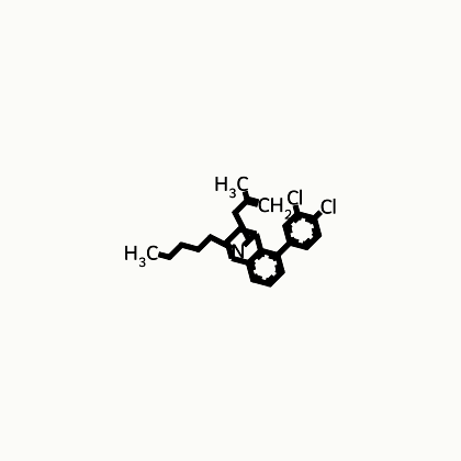 C=C(C)CC1C2CCC(c3cccc(-c4ccc(Cl)c(Cl)c4)c32)N1CCCCC